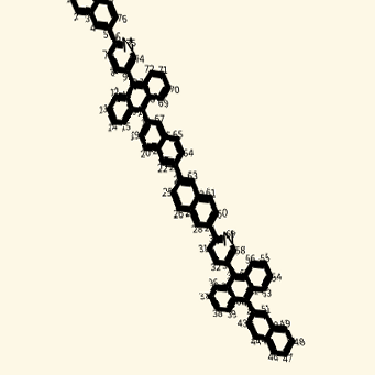 c1ccc2cc(-c3ccc(-c4c5ccccc5c(-c5ccc6cc(-c7ccc8cc(-c9ccc(-c%10c%11ccccc%11c(-c%11ccc%12ccccc%12c%11)c%11ccccc%10%11)cn9)ccc8c7)ccc6c5)c5ccccc45)cn3)ccc2c1